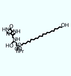 CCCOP(=O)(CC[C@@H](CO)NCc1c[nH]c2c(=O)[nH]cnc12)OCCCCCCCCCCCCCCCCCCCCCO